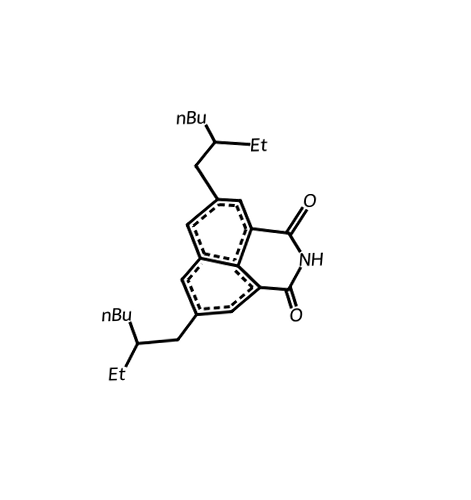 CCCCC(CC)Cc1cc2c3c(cc(CC(CC)CCCC)cc3c1)C(=O)NC2=O